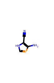 N#Cc1[nH]cpc1N